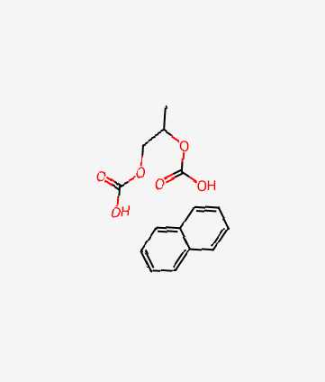 CC(COC(=O)O)OC(=O)O.c1ccc2ccccc2c1